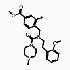 COC(=O)c1ccc(CN(CCc2ccccc2OC)C(=O)N2CCN(C)CC2)c(F)c1